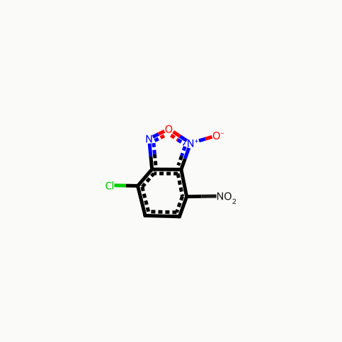 O=[N+]([O-])c1ccc(Cl)c2no[n+]([O-])c12